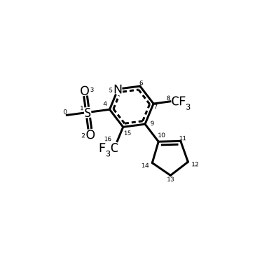 CS(=O)(=O)c1ncc(C(F)(F)F)c(C2=CCCC2)c1C(F)(F)F